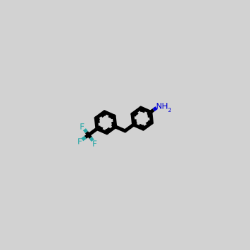 Nc1ccc(Cc2cccc(C(F)(F)F)c2)cc1